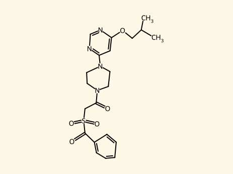 CC(C)COc1cc(N2CCN(C(=O)CS(=O)(=O)C(=O)c3ccccc3)CC2)ncn1